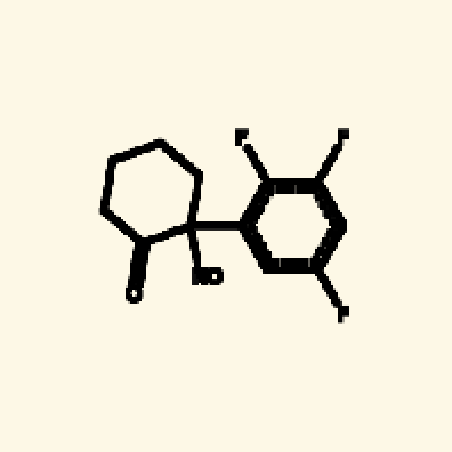 O=NC1(c2cc(F)cc(F)c2F)CCCCC1=O